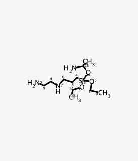 CCO[Si](CCCNCCN)(OCC)OC(C)N